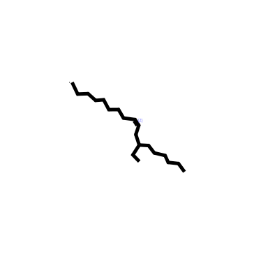 [CH2]CCCCCCC/C=C\CC(CC)CCCCCC